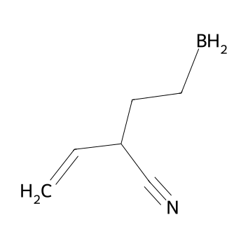 BCCC(C#N)C=C